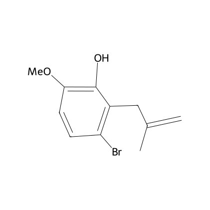 C=C(C)Cc1c(Br)ccc(OC)c1O